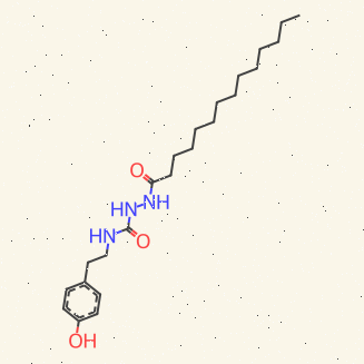 CCCCCCCCCCCCCC(=O)NNC(=O)NCCc1ccc(O)cc1